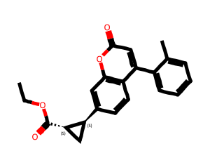 CCOC(=O)[C@H]1C[C@@H]1c1ccc2c(-c3ccccc3C)cc(=O)oc2c1